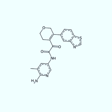 Cc1cc(NC(=O)C(=O)C2=C(c3ccc4scnc4c3)COCC2)cnc1N